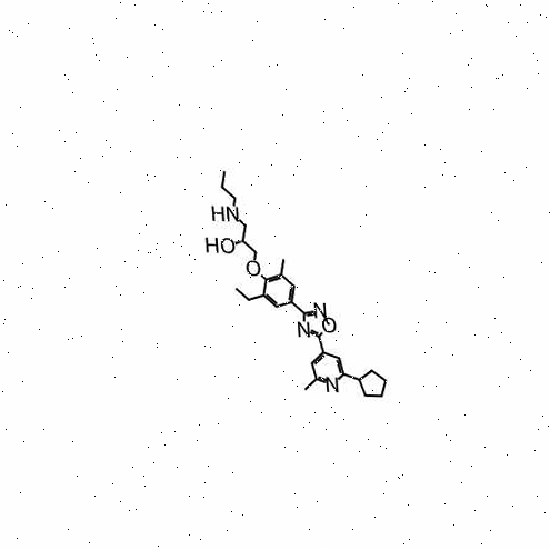 CCCNC[C@H](O)COc1c(C)cc(-c2noc(-c3cc(C)nc(C4CCCC4)c3)n2)cc1CC